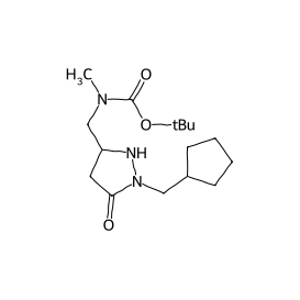 CN(CC1CC(=O)N(CC2CCCC2)N1)C(=O)OC(C)(C)C